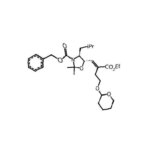 CCOC(=O)C(=C[C@@H]1OC(C)(C)N(C(=O)OCc2ccccc2)[C@H]1CC(C)C)CCOC1CCCCO1